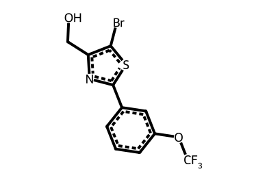 OCc1nc(-c2cccc(OC(F)(F)F)c2)sc1Br